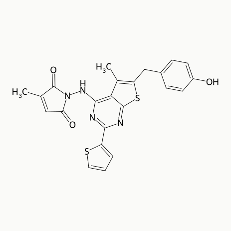 CC1=CC(=O)N(Nc2nc(-c3cccs3)nc3sc(Cc4ccc(O)cc4)c(C)c23)C1=O